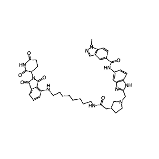 Cn1ncc2cc(C(=O)Nc3ccc4[nH]c(CN5CCC(CC(=O)NCCCCCCCCNc6cccc7c6C(=O)N(C6CCC(=O)NC6=O)C7=O)C5)nc4c3)ccc21